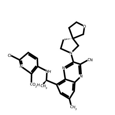 Cc1cc([C@@H](C)Nc2ccc(Cl)nc2C(=O)O)c2nc(N3CC[C@@]4(CCOC4)C3)c(C#N)nc2c1